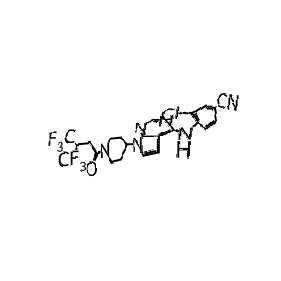 N#Cc1ccc(Nc2ncnc3c2ccn3C2CCN(C(=O)CC(C(F)(F)F)C(F)(F)F)CC2)c(Cl)c1